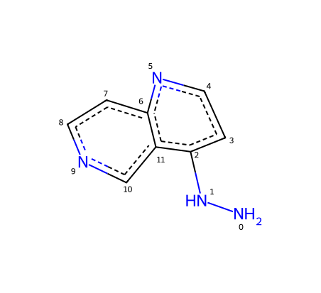 NNc1ccnc2ccncc12